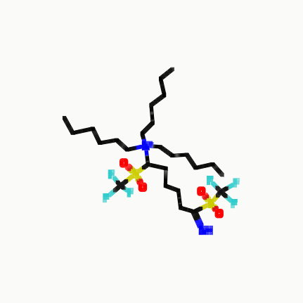 CCCCCC[N+](CCCCCC)(CCCCCC)C(CCCCC(=N)S(=O)(=O)C(F)(F)F)S(=O)(=O)C(F)(F)F